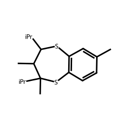 Cc1ccc2c(c1)SC(C(C)C)C(C)C(C)(C(C)C)S2